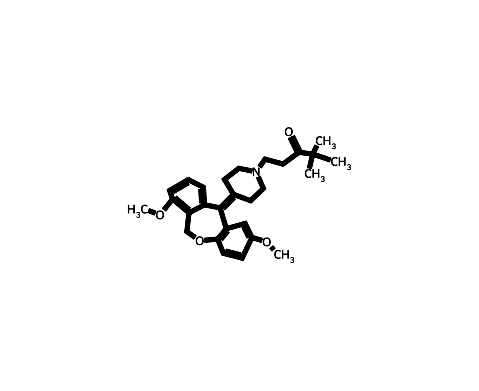 COc1ccc2c(c1)C(=C1CCN(CCC(=O)C(C)(C)C)CC1)c1cccc(OC)c1CO2